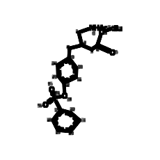 CC(=O)NCC(CC(=O)OC(C)(C)C)Cc1ccc(OS(=O)(=O)c2ccccc2)cc1